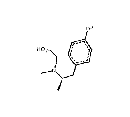 C[C@H](Cc1ccc(O)cc1)N(C)CC(=O)O